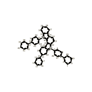 c1ccc(-c2ccc(-n3c4cc(-c5ccccc5)ccc4c4c3ccc3c5ccccc5n(-c5ccc(-c6ccccc6)cc5)c34)cc2)cc1